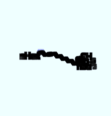 CCCCCC/C=C\CC#CCCCCCCCCC(CCCC)ON(C)C